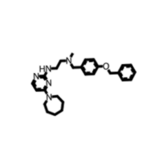 CN(CCNc1nccc(N2CCCCCC2)n1)Cc1ccc(OCc2ccccc2)cc1